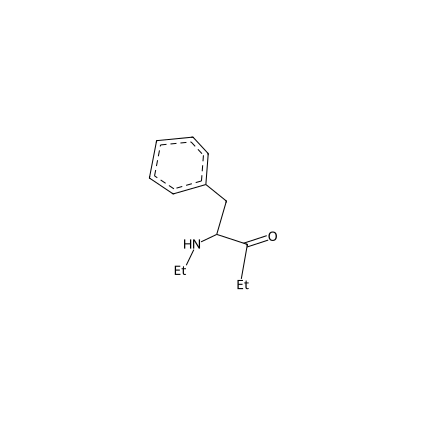 CCNC(Cc1ccccc1)C(=O)CC